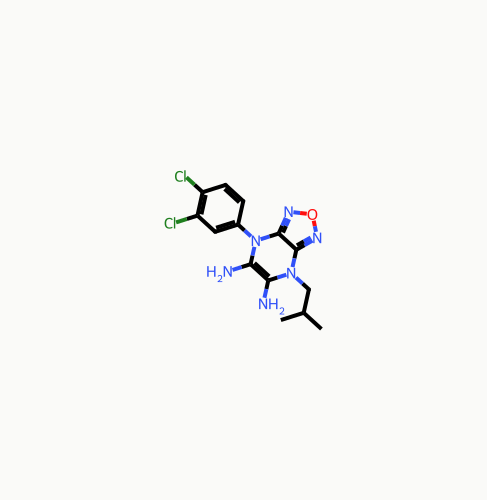 CC(C)CN1C(N)=C(N)N(c2ccc(Cl)c(Cl)c2)c2nonc21